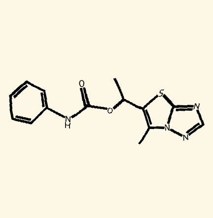 Cc1c(C(C)OC(=O)Nc2ccccc2)sc2ncnn12